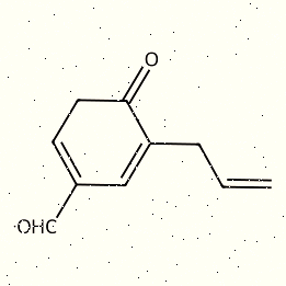 C=CCC1=CC([C]=O)=CCC1=O